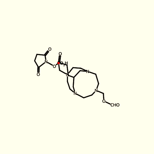 O=COCN1CCN2CCN(CC(=O)O)CCN(CC1)CC(CCC(=O)ON1C(=O)CCC1=O)C2